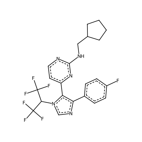 Fc1ccc(-c2ncn(C(C(F)(F)F)C(F)(F)F)c2-c2ccnc(NCC3CCCC3)n2)cc1